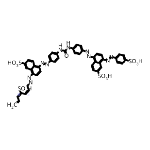 C=C/C=C(\C=C/CN=Nc1ccc(N=Nc2ccc(NC(=O)Nc3ccc(N=Nc4ccc(N=Nc5ccc(S(=O)(=O)O)cc5)c5cc(S(=O)(=O)O)ccc45)cc3)cc2)c2ccc(S(=O)(=O)O)cc12)S(=O)(=O)O